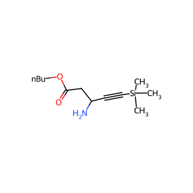 CCCCOC(=O)CC(N)C#C[Si](C)(C)C